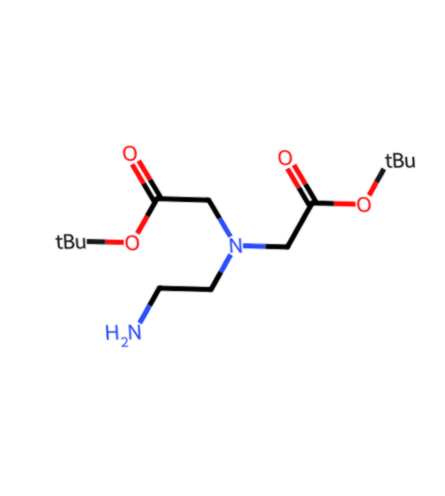 CC(C)(C)OC(=O)CN(CCN)CC(=O)OC(C)(C)C